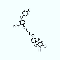 CCCc1cc(Oc2ccc(Cl)cc2)ccc1OCCCCOc1cccc(C2(F)SC(=O)NC2=O)c1